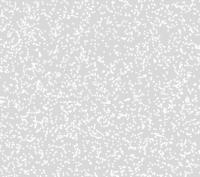 C=C1CCCCCN2CCC3(CC2)C(NC2CCCCC2)=NC(=O)N3c2ccc1cc2